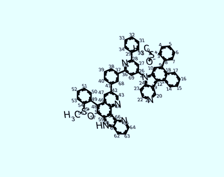 C[S+]([O-])c1ccccc1-c1cc2c(c3ccccc13)c1cnccc1n2-c1cc(-c2ccccc2)nc(-c2cccc(-c3cnc4c(c3)c(-c3ccccc3[S+](C)[O-])cc3[nH]c5cccnc5c34)c2)c1